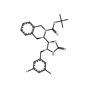 CC(C)(C)OC(=O)N1Cc2ccccc2C[C@@H]1[C@H]1OC(=O)N[C@H]1Cc1cc(F)cc(F)c1